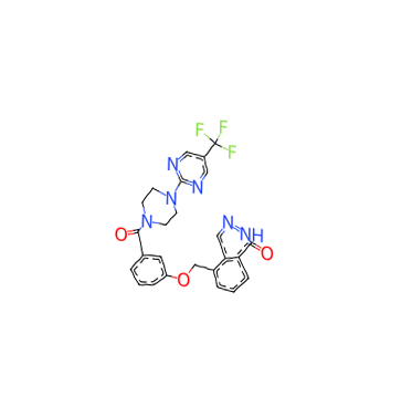 O=C(c1cccc(OCc2cccc3c(=O)[nH]ncc23)c1)N1CCN(c2ncc(C(F)(F)F)cn2)CC1